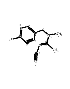 CC(=NC#N)N(C)Cc1ccc(F)nc1